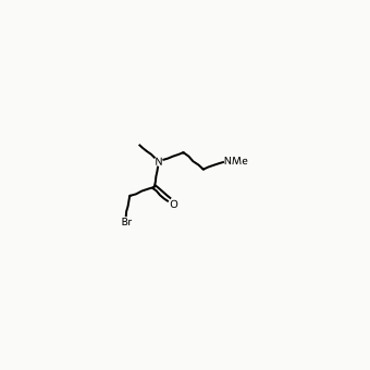 CNCCN(C)C(=O)CBr